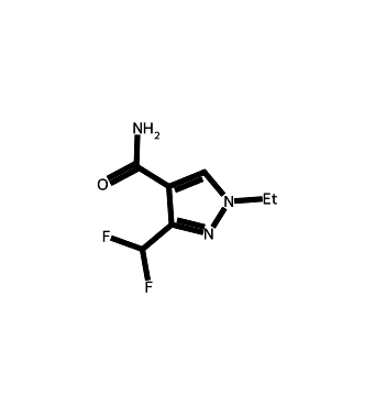 CCn1cc(C(N)=O)c(C(F)F)n1